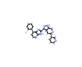 Fc1ccccc1-c1ccnc2[nH]c(-c3n[nH]c4cnc(-c5cccnc5)cc34)nc12